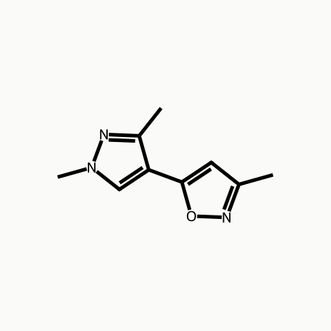 Cc1cc(-c2cn(C)nc2C)on1